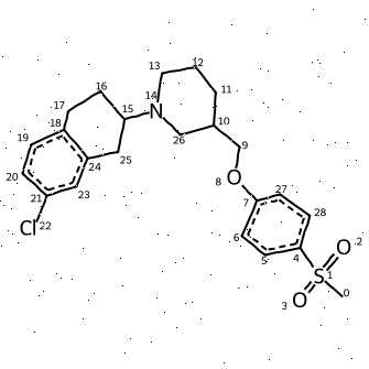 CS(=O)(=O)c1ccc(OCC2CCCN(C3CCc4ccc(Cl)cc4C3)C2)cc1